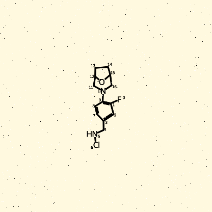 Fc1cc(CNCl)ccc1N1CC2CCC(C1)O2